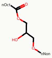 CCCCCCCCCOCC(O)COC(=O)CCCCCCCC